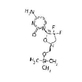 C[Si](C)(C)OC[C@@H]1CC(F)(F)[C@H](n2ccc(N)nc2=O)O1